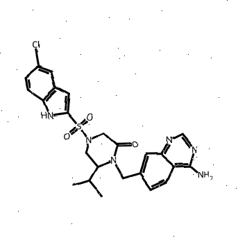 CC(C)C1CN(S(=O)(=O)c2cc3cc(Cl)ccc3[nH]2)CC(=O)N1Cc1ccc2c(N)ncnc2c1